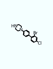 Clc1ccc(-c2ccc(N3CCNCC3)cc2)c(Br)c1